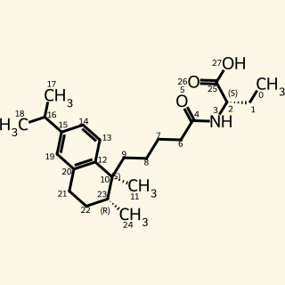 CC[C@H](NC(=O)CCCC[C@]1(C)c2ccc(C(C)C)cc2CC[C@H]1C)C(=O)O